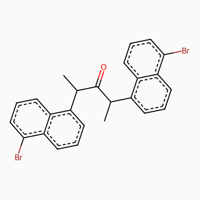 CC(C(=O)C(C)c1cccc2c(Br)cccc12)c1cccc2c(Br)cccc12